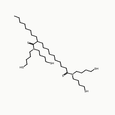 CCCCCCCCC(CCCCCCCCCC(=S)N(CCCCS)CCCCS)C(=S)N(CCCCS)CCCCS